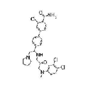 CN(CC(=O)CNC(CN1CCCC1)c1ccc(-c2ccc(C(N)=O)c(Cl)c2)cc1)c1ccc(Cl)c(Cl)c1